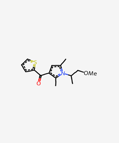 COCC(C)n1c(C)cc(C(=O)c2cccs2)c1C